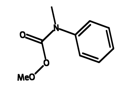 COOC(=O)N(C)c1ccccc1